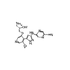 COc1cncc(OCC(O)CN)c1-c1cc(Nc2cnc(C#N)cn2)n[nH]1